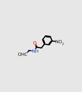 O=CCNC(=O)Cc1cccc([N+](=O)[O-])c1